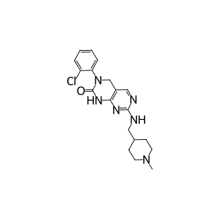 CN1CCC(CNc2ncc3c(n2)NC(=O)N(c2ccccc2Cl)C3)CC1